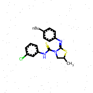 CCCCc1ccc(/N=C2/SC(C)CN2C(=S)Nc2cccc(Cl)c2)cc1